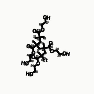 CCC(C)(CC(C)(CC(C)(CC(C)(C)C(=O)OCCO)C(=O)OCCO)C(=O)OCCO)C(=O)OCCO